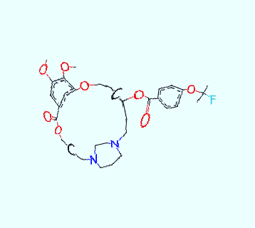 COc1cc2cc(c1OC)OCCCC(OC(=O)c1ccc(OC(C)(C)F)cc1)CCN1CCCN(CCCOC2=O)CC1